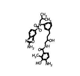 Cc1c(C(=O)NCC(O)CCc2cccc(N(CC(C)C)S(=O)(=O)c3ccc4nc(N)oc4c3)c2)ccc(N)c1O